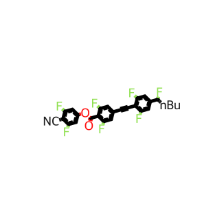 CCCCC(F)c1cc(F)c(C#Cc2cc(F)c(C(=O)Oc3cc(F)c(C#N)c(F)c3)c(F)c2)c(F)c1